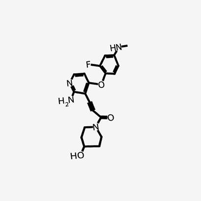 CNc1ccc(Oc2ccnc(N)c2C#CC(=O)N2CCC(O)CC2)c(F)c1